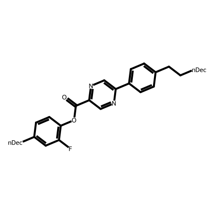 CCCCCCCCCCCCc1ccc(-c2cnc(C(=O)Oc3ccc(CCCCCCCCCC)cc3F)cn2)cc1